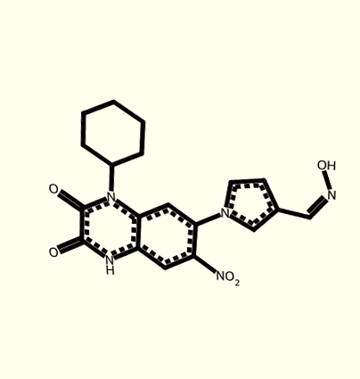 O=c1[nH]c2cc([N+](=O)[O-])c(-n3ccc(/C=N\O)c3)cc2n(C2CCCCC2)c1=O